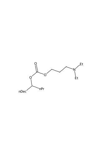 CCCCCCCCCCC(CCC)OC(=O)OCCCN(CC)CC